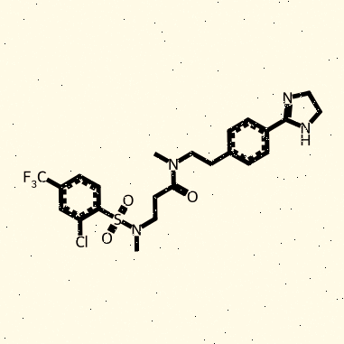 CN(CCc1ccc(C2=NCCN2)cc1)C(=O)CCN(C)S(=O)(=O)c1ccc(C(F)(F)F)cc1Cl